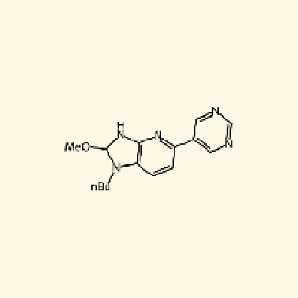 CCCCN1c2ccc(-c3cncnc3)nc2NC1OC